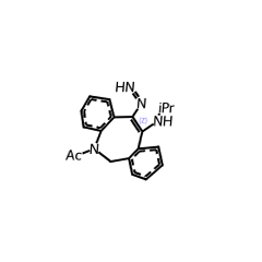 CC(=O)N1Cc2ccccc2/C(NC(C)C)=C(/N=N)c2ccccc21